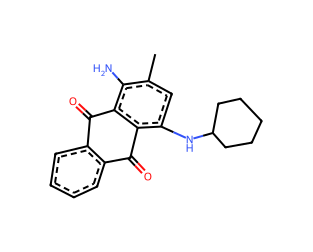 Cc1cc(NC2CCCCC2)c2c(c1N)C(=O)c1ccccc1C2=O